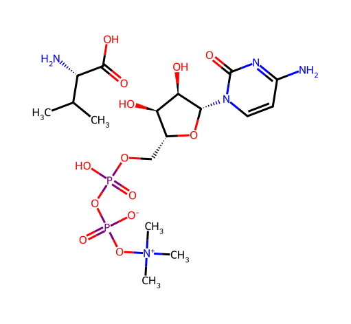 CC(C)[C@H](N)C(=O)O.C[N+](C)(C)OP(=O)([O-])OP(=O)(O)OC[C@H]1O[C@@H](n2ccc(N)nc2=O)[C@H](O)[C@@H]1O